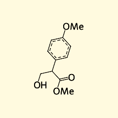 COC(=O)C(CO)c1ccc(OC)cc1